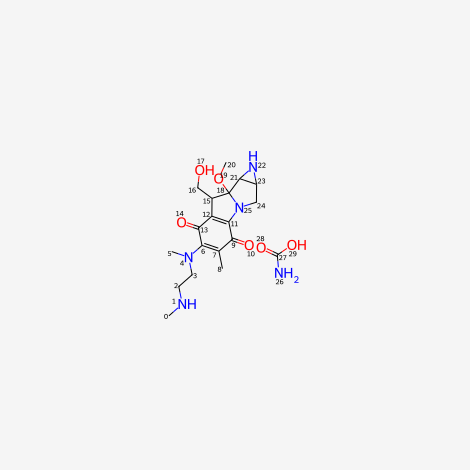 CNCCN(C)C1=C(C)C(=O)C2=C(C1=O)C(CO)C1(OC)C3NC3CN21.NC(=O)O